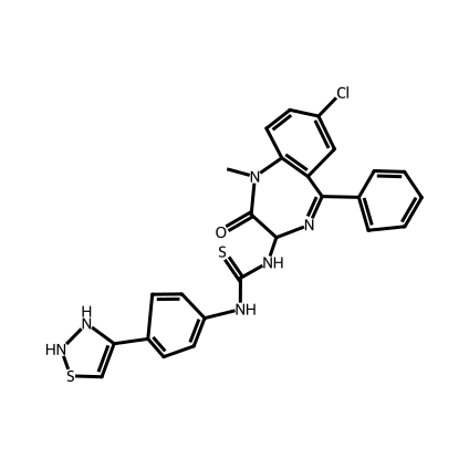 CN1C(=O)C(NC(=S)Nc2ccc(C3=CSNN3)cc2)N=C(c2ccccc2)c2cc(Cl)ccc21